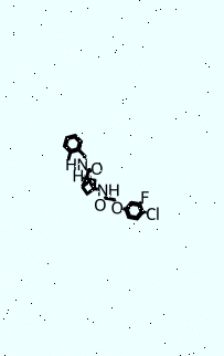 Cc1ccccc1CNC(=O)[C@@H]1CC2(NC(=O)COc3ccc(Cl)c(F)c3)CC1C2